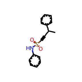 CC(C#CS(=O)(=O)Nc1ccccc1)c1ccccc1